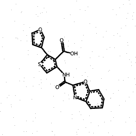 O=C(Nc1csc(-c2ccoc2)c1C(=O)O)c1nc2ccccc2o1